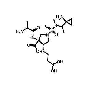 CC(N(C)S(=O)(=O)N1C[C@H](CCCB(O)O)[C@](NC(=O)[C@H](C)N)(C(=O)O)C1)C1(N)CC1